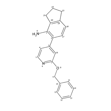 Nc1c(-c2ccnc(OCc3ccccc3)c2)ccc2c1CCC2